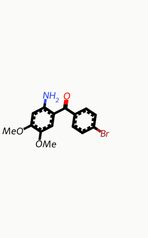 COc1cc(N)c(C(=O)c2ccc(Br)cc2)cc1OC